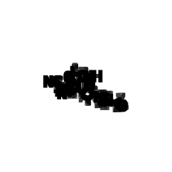 CC(Oc1nc(-c2ccc(N3CCN(C4COC4)CC3)cc2)cn2ncc(C#N)c12)C1CNC(=O)C1